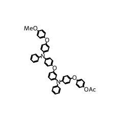 COc1ccc(Oc2ccc(N(c3ccccc3)c3ccc(Oc4cccc(N(c5ccccc5)c5ccc(Oc6ccc(OC(C)=O)cc6)cc5)c4)cc3)cc2)cc1